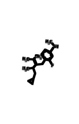 CNc1ccc(CC(=C(C)C)C(C)CC2CC2)c(F)c1